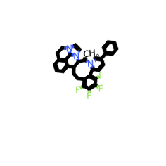 C=C1C2C(CCc3c(F)c(F)c(F)c(F)c3-c3ccc(-c4ccccc4)c[n+]31)c1cccc3c1C1N(C=CN21)CC3